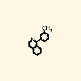 Cc1cccc(-c2nccc3ccccc23)c1